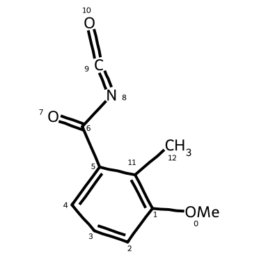 COc1cccc(C(=O)N=C=O)c1C